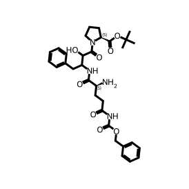 CC(C)(C)OC(=O)[C@@H]1CCCN1C(=O)C(O)C(Cc1ccccc1)NC(=O)[C@@H](N)CCC(=O)NC(=O)OCc1ccccc1